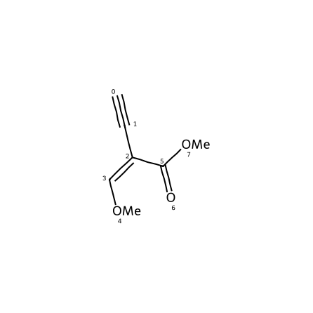 C#CC(=COC)C(=O)OC